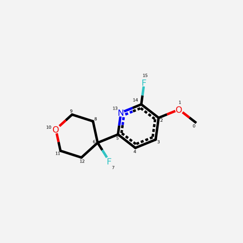 COc1ccc(C2(F)CCOCC2)nc1F